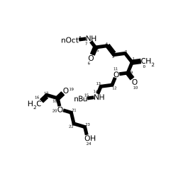 C=C(CC=CC(=O)NCCCCCCCC)C(=O)OCCNCCCC.C=CC(=O)OCCCO